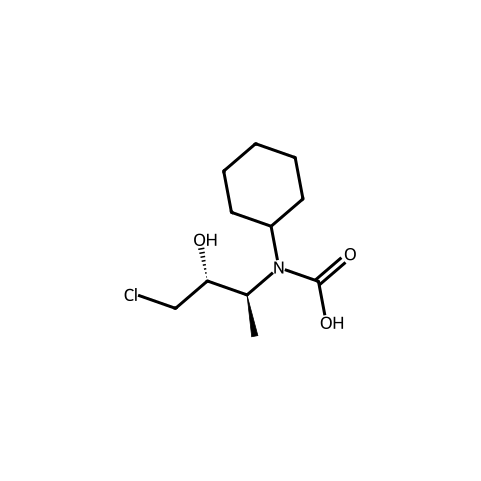 C[C@@H]([C@@H](O)CCl)N(C(=O)O)C1CCCCC1